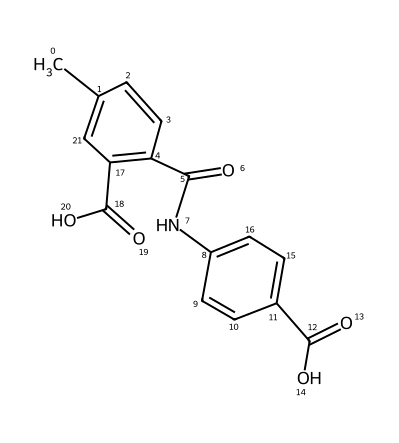 Cc1ccc(C(=O)Nc2ccc(C(=O)O)cc2)c(C(=O)O)c1